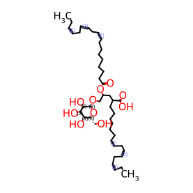 CC/C=C\C/C=C\C/C=C\CCCCCCCC(=O)OC(CO[C@@H]1O[C@H](CO)[C@H](O)[C@H](O)[C@H]1O)CC(CCCCCC/C=C\C/C=C\C/C=C\CC)C(=O)O